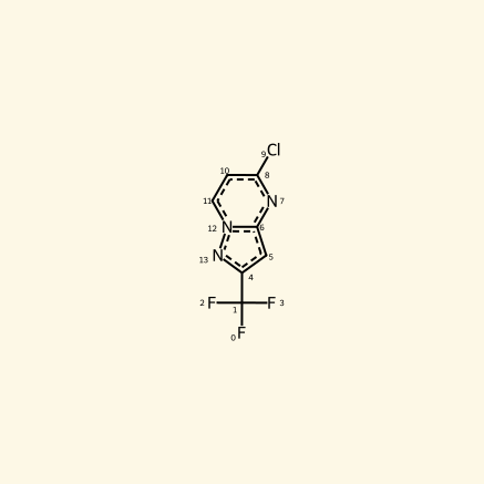 FC(F)(F)c1cc2nc(Cl)ccn2n1